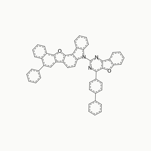 c1ccc(-c2ccc(-c3nc(-n4c5ccccc5c5c6oc7c8ccccc8c(-c8ccccc8)cc7c6ccc54)nc4c3oc3ccccc34)cc2)cc1